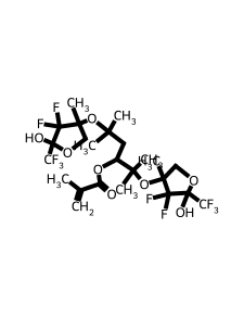 C=C(C)C(=O)OC(CC(C)(C)OC1(C)COC(O)(C(F)(F)F)C1(F)F)C(C)(C)OC1(C)COC(O)(C(F)(F)F)C1(F)F